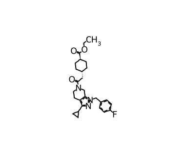 CCOC(=O)[C@H]1CC[C@H](CC(=O)N2CCc3c(C4CC4)nn(Cc4ccc(F)cc4)c3C2)CC1